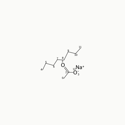 CC(=O)[O-].CCCCCCCC.[Na+]